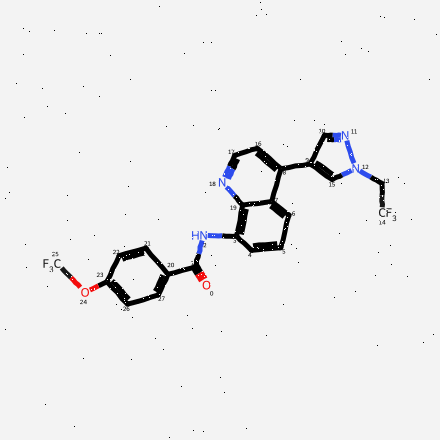 O=C(Nc1cccc2c(-c3cnn(CC(F)(F)F)c3)ccnc12)c1ccc(OC(F)(F)F)cc1